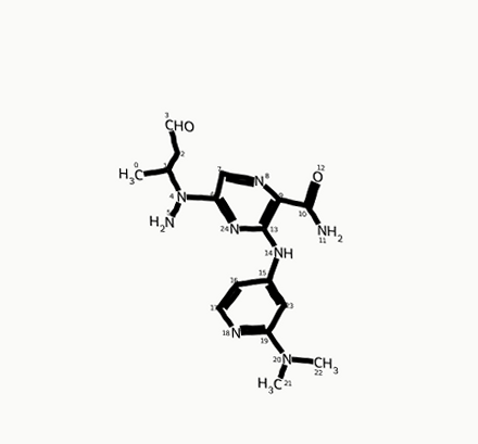 CC(CC=O)N(N)c1cnc(C(N)=O)c(Nc2ccnc(N(C)C)c2)n1